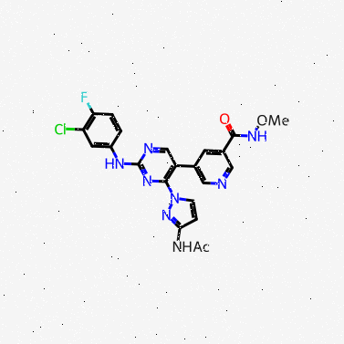 CONC(=O)c1cncc(-c2cnc(Nc3ccc(F)c(Cl)c3)nc2-n2ccc(NC(C)=O)n2)c1